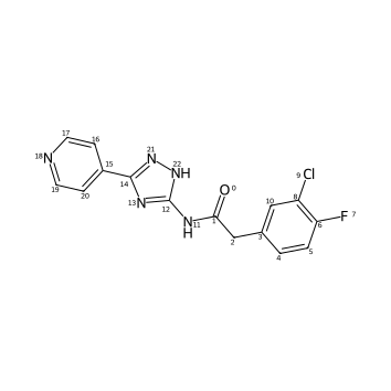 O=C(Cc1ccc(F)c(Cl)c1)Nc1nc(-c2ccncc2)n[nH]1